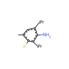 Cc1cc(C(C)C)c(N)c(C(C)C)c1F